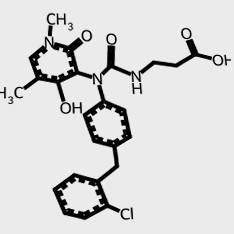 Cc1cn(C)c(=O)c(N(C(=O)NCCC(=O)O)c2ccc(Cc3ccccc3Cl)cc2)c1O